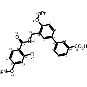 CCCOc1ccc(-c2cccc(C(=O)O)c2)cc1CNC(=O)c1ccc(OC(C)C)cc1Cl